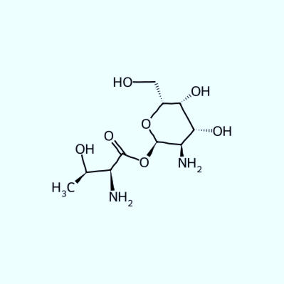 C[C@@H](O)[C@H](N)C(=O)O[C@H]1O[C@H](CO)[C@H](O)[C@H](O)[C@H]1N